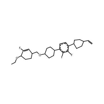 C=CC1CCC(c2ccc(C3CCC(OCC4C=C(F)C(OCC)CC4)CC3)c(F)c2F)CC1